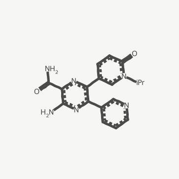 CC(C)n1cc(-c2nc(C(N)=O)c(N)nc2-c2cccnc2)ccc1=O